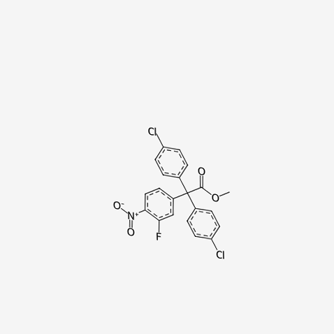 COC(=O)C(c1ccc(Cl)cc1)(c1ccc(Cl)cc1)c1ccc([N+](=O)[O-])c(F)c1